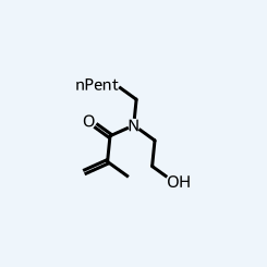 C=C(C)C(=O)N(CCO)CCCCCC